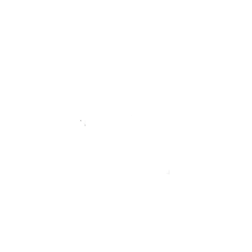 Cc1nc2csc(Br)c2s1